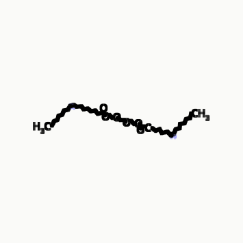 CCCCCCCC/C=C\CCCCCCCC(=O)OCCOCCOCCOC(=O)CCCCCCC/C=C\CCCCCCCC